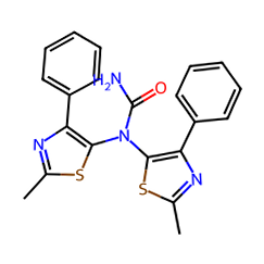 Cc1nc(-c2ccccc2)c(N(C(N)=O)c2sc(C)nc2-c2ccccc2)s1